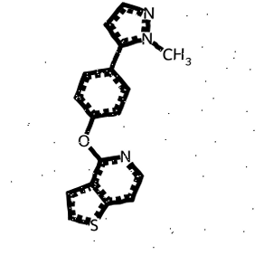 Cn1nccc1-c1ccc(Oc2nccc3sccc23)cc1